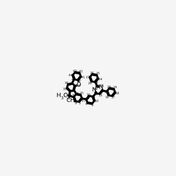 CC1(C)c2ccc(-c3cccc(-c4cc(-c5ccccc5)nc(-c5ccccc5)n4)c3)cc2-c2c1ccc1c2oc2ccccc21